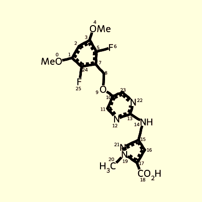 COc1cc(OC)c(F)c(COc2cnc(Nc3cc(C(=O)O)n(C)n3)nc2)c1F